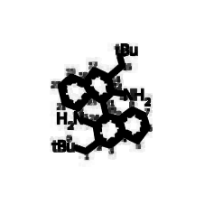 CC(C)(C)Cc1cc2ccccc2c(-c2c(N)c(CC(C)(C)C)cc3ccccc23)c1N